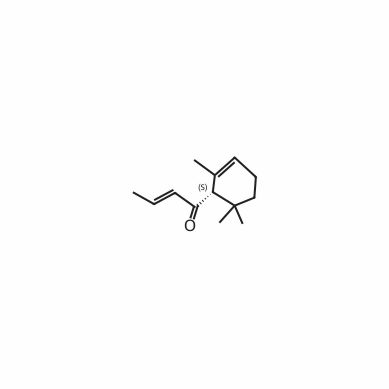 CC=CC(=O)[C@@H]1C(C)=CCCC1(C)C